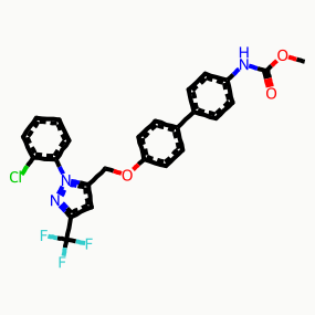 COC(=O)Nc1ccc(-c2ccc(OCc3cc(C(F)(F)F)nn3-c3ccccc3Cl)cc2)cc1